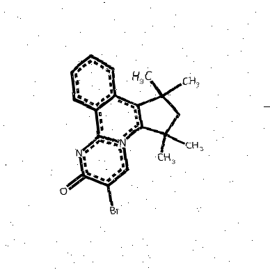 CC1(C)CC(C)(C)c2c1c1ccccc1c1nc(=O)c(Br)cn21